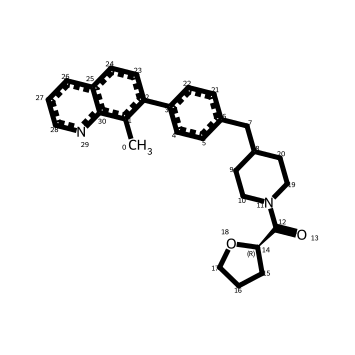 Cc1c(-c2ccc(CC3CCN(C(=O)[C@H]4CCCO4)CC3)cc2)ccc2cccnc12